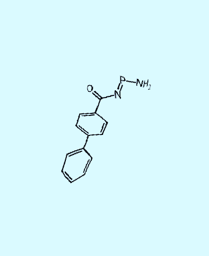 NP=NC(=O)c1ccc(-c2ccccc2)cc1